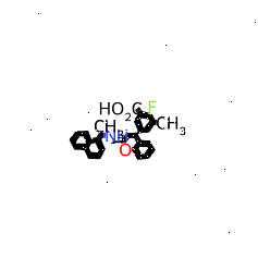 Cc1cc([C@@H]2C[C@H](CN[C@H](C)c3cccc4ccccc34)Oc3ccccc32)cc(C(=O)O)c1F